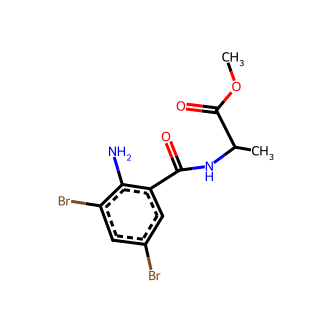 COC(=O)C(C)NC(=O)c1cc(Br)cc(Br)c1N